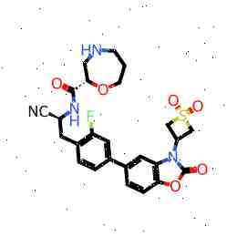 N#C[C@H](Cc1ccc(-c2ccc3oc(=O)n(C4CS(=O)(=O)C4)c3c2)cc1F)NC(=O)[C@@H]1CNCCCO1